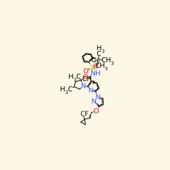 C[C@@H]1CN(c2nc(-n3ccc(OCCC4(C(F)(F)F)CC4)n3)ccc2C(=O)NS(=O)(=O)c2cccc[c]2[Ge]([CH3])([CH3])[CH3])C(C)(C)C1